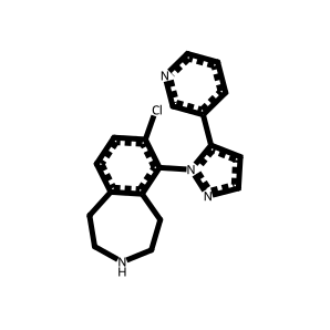 Clc1ccc2c(c1-n1nccc1-c1cccnc1)CCNCC2